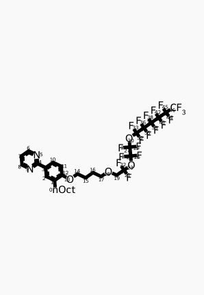 CCCCCCCCc1cc(-c2ncccn2)ccc1OCCCCOCC(F)(F)OC(F)(F)C(F)(F)OC(F)(F)C(F)(F)C(F)(F)C(F)(F)C(F)(F)C(F)(F)F